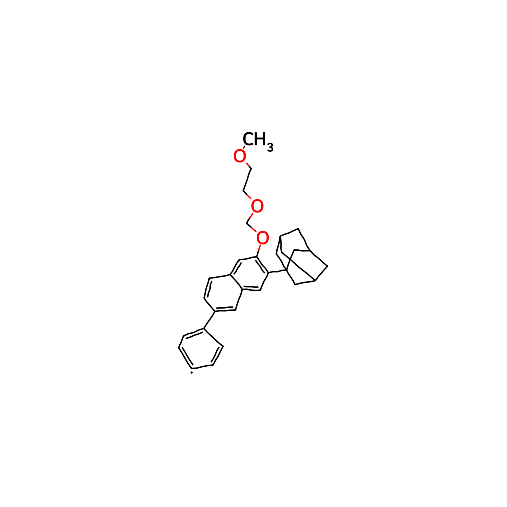 COCCOCOc1cc2ccc(-c3cc[c]cc3)cc2cc1C12CC3CC(CC(C3)C1)C2